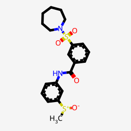 C[S+]([O-])c1cccc(NC(=O)c2cccc(S(=O)(=O)N3CCCCCC3)c2)c1